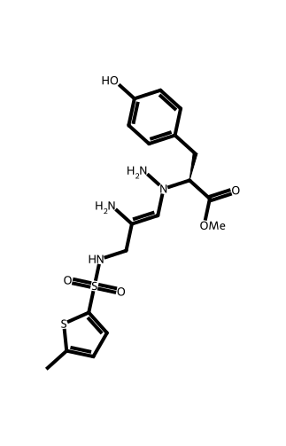 COC(=O)[C@H](Cc1ccc(O)cc1)N(N)/C=C(\N)CNS(=O)(=O)c1ccc(C)s1